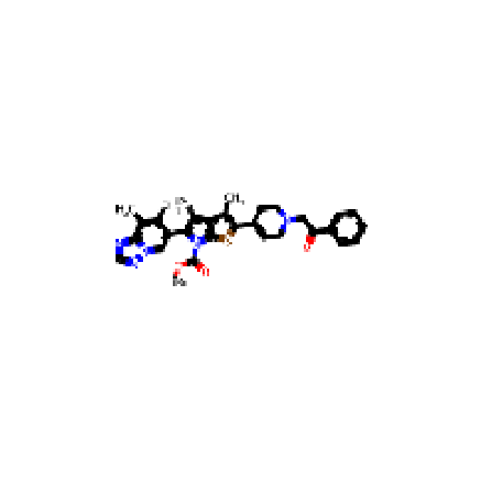 Cc1c(-c2c(C(C)C)c3c(C)c(C4=CCN(CC(=O)c5ccccc5)CC4)sc3n2C(=O)OC(C)(C)C)cn2ncnc2c1C